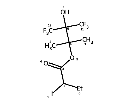 CCC(I)C(=O)OC(C)(C)C(O)(C(F)(F)F)C(F)(F)F